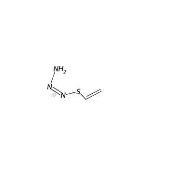 C=CS/N=N\N